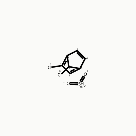 ClC1=C2C=CC(=C1)C2Cl.O=[SH2]=O